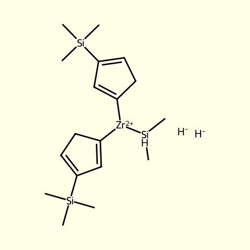 C[SiH](C)[Zr+2]([C]1=CC([Si](C)(C)C)=CC1)[C]1=CC([Si](C)(C)C)=CC1.[H-].[H-]